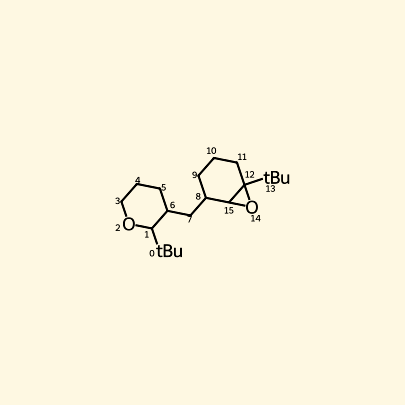 CC(C)(C)C1OCCCC1CC1CCCC2(C(C)(C)C)OC12